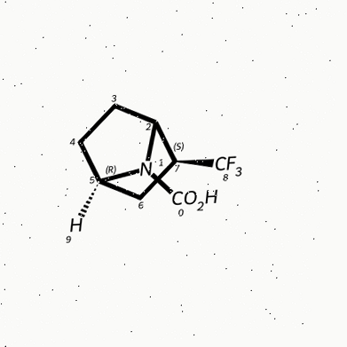 O=C(O)N1C2CC[C@@H]1C[C@@H]2C(F)(F)F